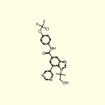 CC(C)(CO)n1cnc2cc(C(=O)Nc3ccc(OC(F)(F)Cl)cc3)cc(-c3cncnc3)c21